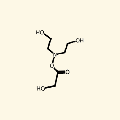 O=C(CO)ON(CCO)CCO